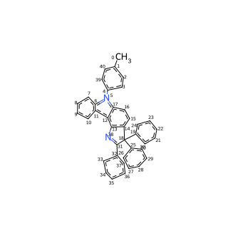 Cc1ccc(-n2c3ccccc3c3c4c(ccc32)C(c2ccccc2)(c2ccccc2)C(c2ccccc2)=N4)cc1